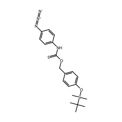 CC(C)(C)[Si](C)(C)Oc1ccc(COC(=S)Nc2ccc(N=[N+]=[N-])cc2)cc1